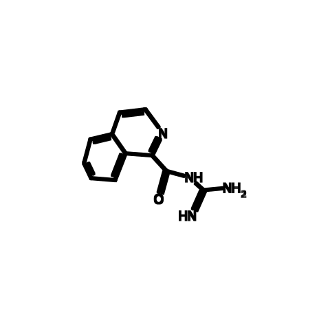 N=C(N)NC(=O)c1nccc2ccccc12